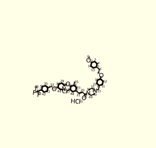 COc1ccc(CCOc2ccc(CN3CCN(C(=O)C=Cc4cc(C)c(Oc5ccc(OCc6ccc(C(F)(F)F)cc6)cn5)c(Cl)c4)CC3)cc2)cc1.Cl